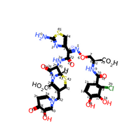 Nc1nc(/C(=N/OC[C@H](NC(=O)c2ccc(O)c(O)c2Cl)C(=O)O)C(=O)N[C@@H]2C(=O)N3C(C(=O)O)=C(Cn4ccc(=O)c(O)c4)CS[C@H]23)cs1